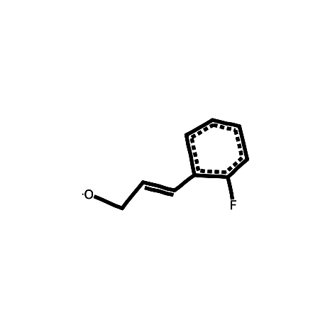 [O]CC=Cc1ccccc1F